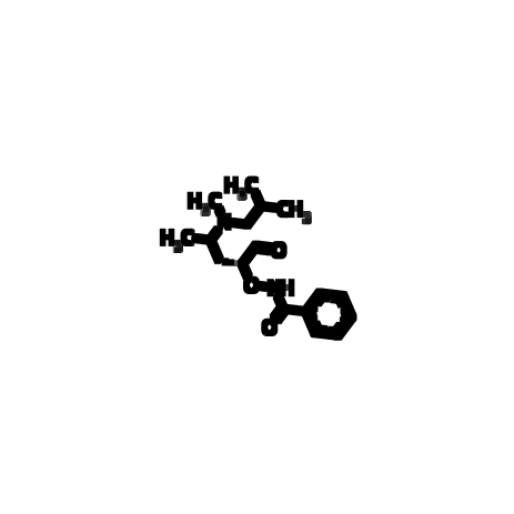 CC(C)CN(C)C(C)C[C@H](C=O)ONC(=O)c1ccccc1